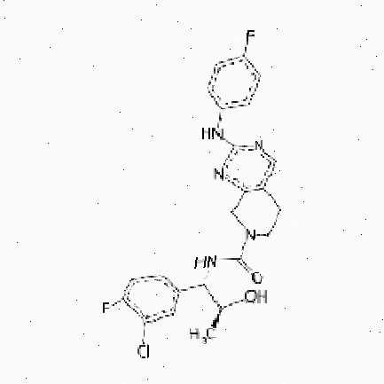 C[C@H](O)[C@@H](NC(=O)N1CCc2cnc(Nc3ccc(F)cc3)nc2C1)c1ccc(F)c(Cl)c1